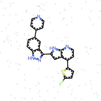 Fc1ccc(-c2ccnc3[nH]c(-c4n[nH]c5ccc(-c6ccncc6)cc45)cc23)s1